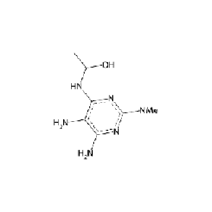 CNc1nc(N)c(N)c(NC(C)O)n1